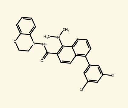 CN(C)c1c(C(=O)NN2CCOc3ccccc32)ccc2c(-c3cc(Cl)cc(Cl)c3)cccc12